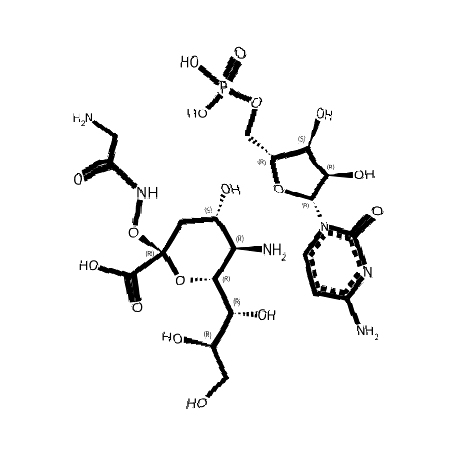 NCC(=O)NO[C@@]1(C(=O)O)C[C@H](O)[C@@H](N)[C@H]([C@H](O)[C@H](O)CO)O1.Nc1ccn([C@@H]2O[C@H](COP(=O)(O)O)[C@@H](O)[C@H]2O)c(=O)n1